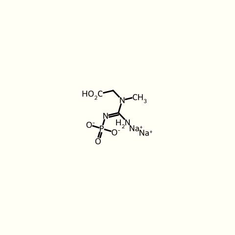 CN(CC(=O)O)C(N)=NP(=O)([O-])[O-].[Na+].[Na+]